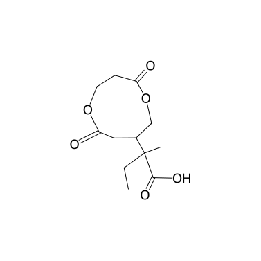 CCC(C)(C(=O)O)C1COC(=O)CCOC(=O)C1